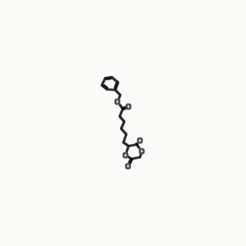 O=C(CCCCCC1OC(=O)COC1=O)OCc1ccccc1